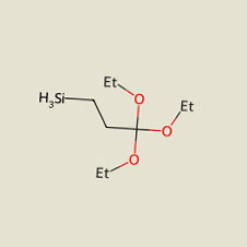 CCOC(CC[SiH3])(OCC)OCC